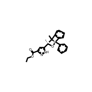 CCOC(=O)c1cc([C@H](C)O[Si]2(c3ccccc3)c3ccccc3C2(C)C)[nH]n1